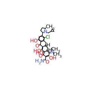 CC1CCC(c2cc(O)c3c(c2Cl)C[C@H]2C[C@H]4[C@H](N(C)C)C(O)=C(C(N)=O)C(=O)[C@@]4(O)C(O)=C2C3=O)N1CC1CC1